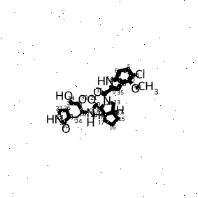 COc1c(Cl)ccc2[nH]c(C(=O)N3C[C@@H]4CCC[C@@H]4[C@H]3C(=O)N[C@@H](C[C@@H]3CCNC3=O)C(=O)CO)cc12